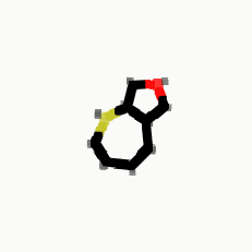 C1CCC2COCC2SC1